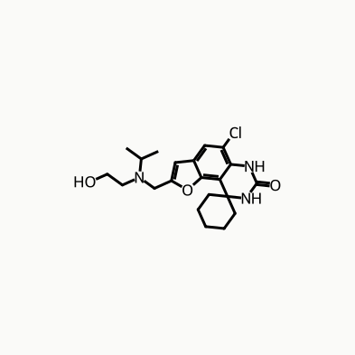 CC(C)N(CCO)Cc1cc2cc(Cl)c3c(c2o1)C1(CCCCC1)NC(=O)N3